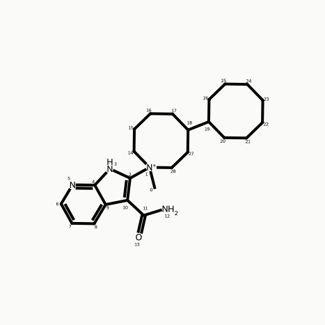 C[N+]1(c2[nH]c3ncccc3c2C(N)=O)CCCCC(C2CCCCCCC2)CC1